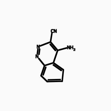 N#Cc1nnc2ccccc2c1N